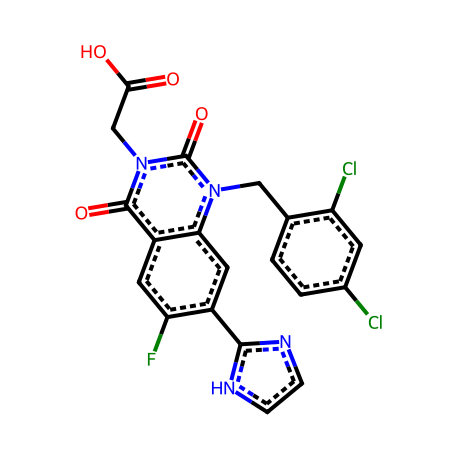 O=C(O)Cn1c(=O)c2cc(F)c(-c3ncc[nH]3)cc2n(Cc2ccc(Cl)cc2Cl)c1=O